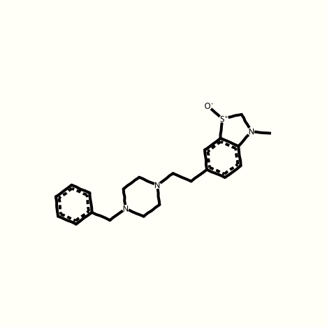 CN1C[S+]([O-])c2cc(CCN3CCN(Cc4ccccc4)CC3)ccc21